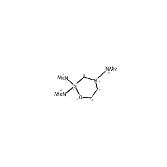 CNN1CCO[Si](NC)(NC)C1